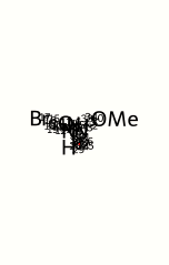 COc1ccc(-c2cnc(NC(=O)Cc3ccc(Br)cc3)c(CC34CC5CC(CC(C5)C3)C4)n2)cc1